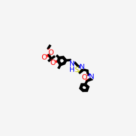 CCOC(=O)C(C)(C)Oc1c(C)cc(CNCc2nc(Cc3ncc(-c4ccccc4)o3)cs2)cc1C